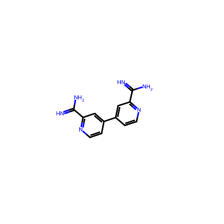 N=C(N)c1cc(-c2ccnc(C(=N)N)c2)ccn1